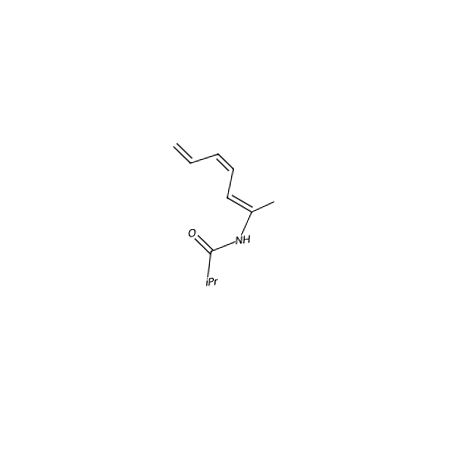 C=C/C=C\C=C(/C)NC(=O)C(C)C